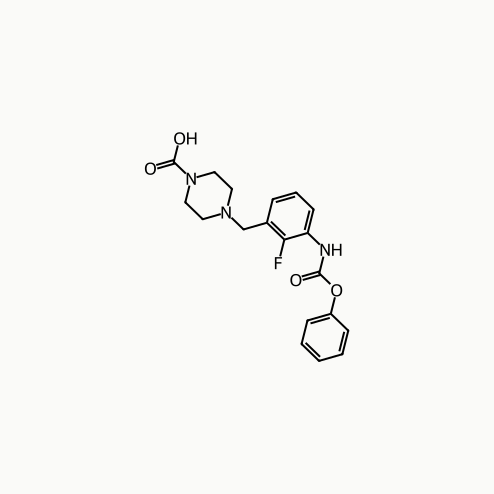 O=C(Nc1cccc(CN2CCN(C(=O)O)CC2)c1F)Oc1ccccc1